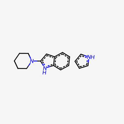 c1cc[nH]c1.c1ccc2[nH]c(N3CCCCC3)cc2c1